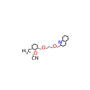 Cc1cccc(COCCCOCc2ccc3ccccc3n2)c1OCC#N